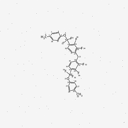 Cc1ccc(OC(F)(F)c2ccc(Cc3ccc(C(F)(F)Oc4ccc(C)cc4)c(F)c3F)c(F)c2F)cc1